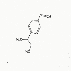 [CH]=Cc1ccc(C(C)CO)cc1